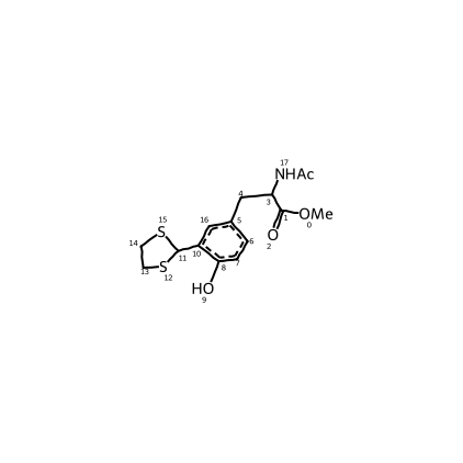 COC(=O)C(Cc1ccc(O)c(C2SCCS2)c1)NC(C)=O